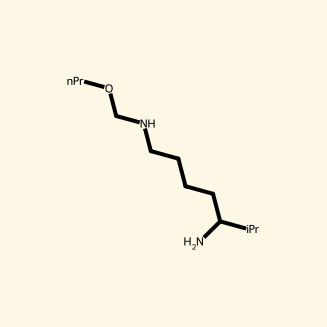 CCCOCNCCCCC(N)C(C)C